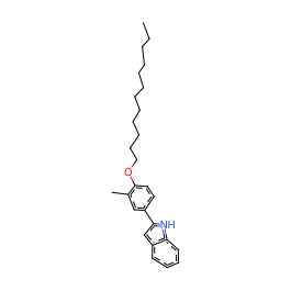 CCCCCCCCCCCCOc1ccc(-c2cc3ccccc3[nH]2)cc1C